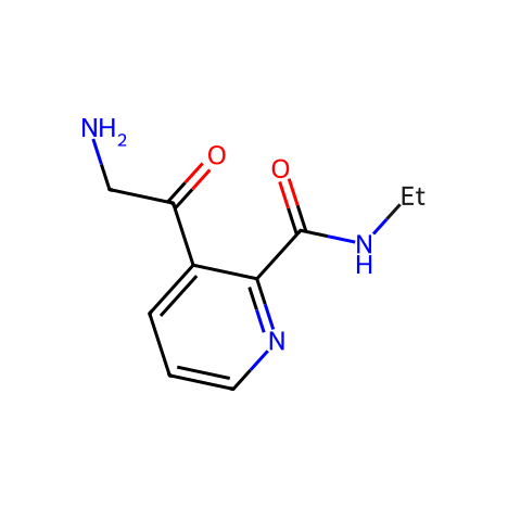 CCNC(=O)c1ncccc1C(=O)CN